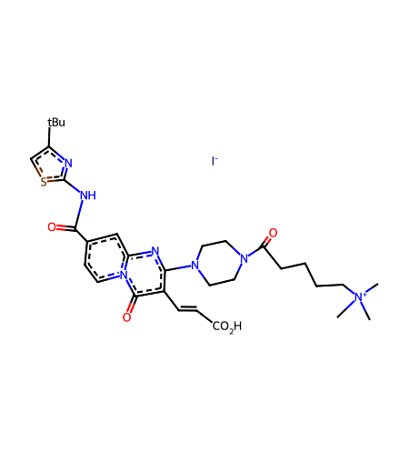 CC(C)(C)c1csc(NC(=O)c2ccn3c(=O)c(C=CC(=O)O)c(N4CCN(C(=O)CCCC[N+](C)(C)C)CC4)nc3c2)n1.[I-]